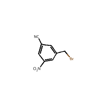 N#Cc1cc(CBr)cc([N+](=O)[O-])c1